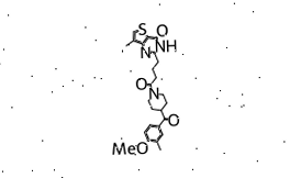 COc1ccc(C(=O)C2CCN(C(=O)CCCc3nc4c(C)csc4c(=O)[nH]3)CC2)cc1C